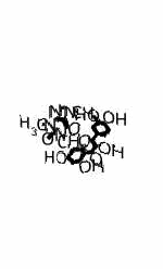 Cn1c(=O)c2c(ncn2C)n(C)c1=O.O=c1c(O)c(-c2ccc(O)c(O)c2)oc2cc(O)cc(O)c12